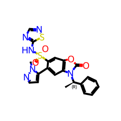 C[C@H](c1ccccc1)n1c(=O)oc2cc(S(=O)(=O)Nc3ncns3)c(-c3ccnn3C)cc21